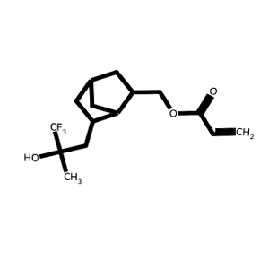 C=CC(=O)OCC1CC2CC(CC(C)(O)C(F)(F)F)C1C2